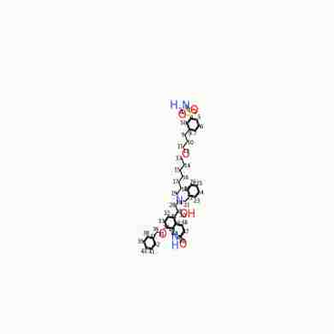 NS(=O)(=O)c1cccc(CCCOCCCCCCCN(Cc2ccccc2)C[C@H](O)c2ccc(OCc3ccccc3)c3[nH]c(=O)ccc23)c1